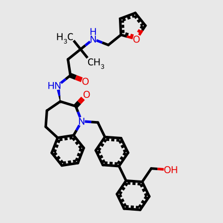 CC(C)(CC(=O)N[C@@H]1CCc2ccccc2N(Cc2ccc(-c3ccccc3CO)cc2)C1=O)NCc1ccco1